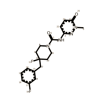 Cn1nc(NC(=O)N2CCC(F)(Cc3cccc(F)c3)CC2)ccc1=O